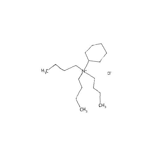 CCCC[N+](CCCC)(CCCC)C1CCCCC1.[Cl-]